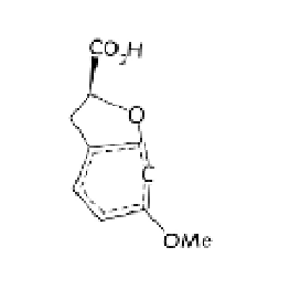 COc1ccc2c(c1)O[C@H](C(=O)O)C2